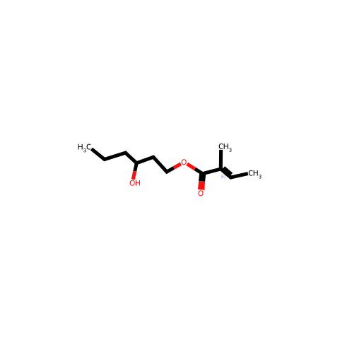 C/C=C(\C)C(=O)OCCC(O)CCC